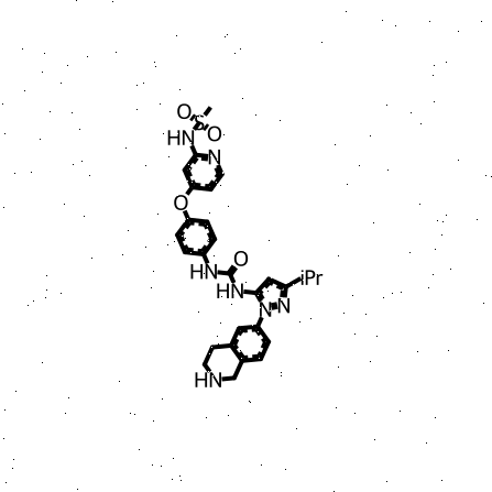 CC(C)c1cc(NC(=O)Nc2ccc(Oc3ccnc(NS(C)(=O)=O)c3)cc2)n(-c2ccc3c(c2)CCNC3)n1